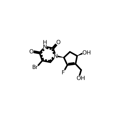 O=c1[nH]c(=O)n([C@H]2C[C@@H](O)C(CO)=C2F)cc1Br